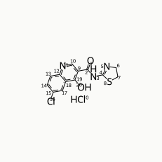 Cl.O=C(NC1=NCCS1)c1cnc2ccc(Cl)cc2c1O